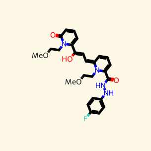 COCCN1C(=C/C=C(\O)c2cccc(=O)n2CCOC)C=CC=C1C(=O)NNc1ccc(F)cc1